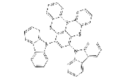 c1ccc2c(c1)Sc1c(-n3c4ccccc4c4ccccc43)cc(-n3c4ccccc4c4ccccc43)c3c1B2c1ccccc1S3